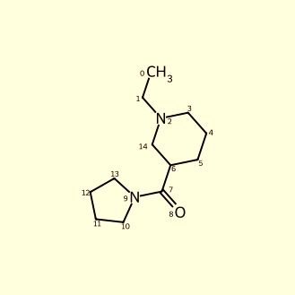 CCN1CCCC(C(=O)N2CCCC2)C1